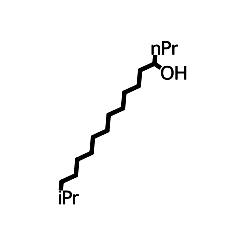 [CH2]CCC(O)CCCCCCCCCCCC(C)C